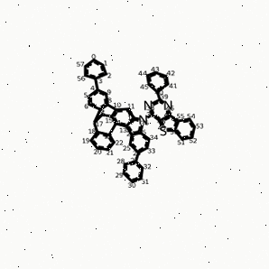 c1ccc(-c2ccc3c(c2)-c2cc4c(c5c2CC3c2ccccc2-5)c2cc(-c3ccccc3)ccc2n4-c2nc(-c3ccccc3)nc3c2sc2ccccc23)cc1